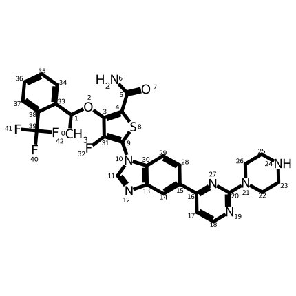 CC(Oc1c(C(N)=O)sc(-n2cnc3cc(-c4ccnc(N5CCNCC5)n4)ccc32)c1F)c1ccccc1C(F)(F)F